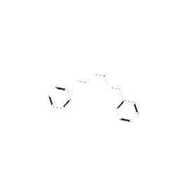 CC(CCOc1ccccc1)OCc1ccccc1